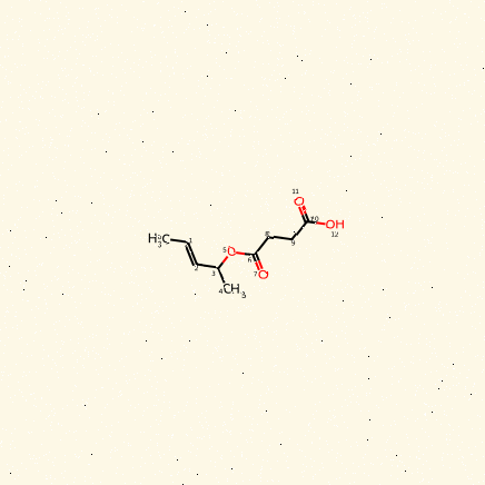 C/C=C/C(C)OC(=O)CCC(=O)O